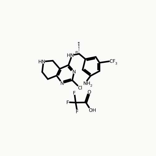 C[C@@H](Nc1nc(Cl)nc2c1CNCC2)c1cc(N)cc(C(F)(F)F)c1.O=C(O)C(F)(F)F